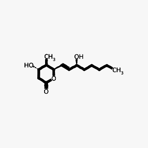 CCCCC[C@H](O)/C=C/[C@H]1OC(=O)C[C@H](O)C1C